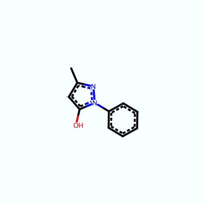 Cc1[c]c(O)n(-c2ccccc2)n1